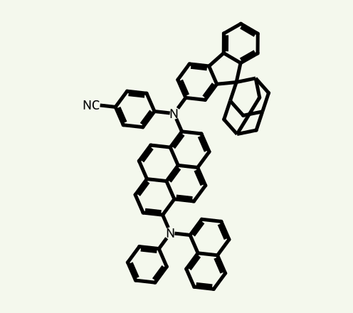 N#Cc1ccc(N(c2ccc3c(c2)C2(c4ccccc4-3)C3CC4CC(C3)CC2C4)c2ccc3ccc4c(N(c5ccccc5)c5cccc6ccccc56)ccc5ccc2c3c54)cc1